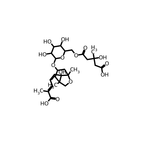 C/C(=C\C=C/C1(O)C2(C)COC1(C)CC(OC1OC(COC(=O)CC(C)(O)CC(=O)O)C(O)C(O)C1O)C2)C(=O)O